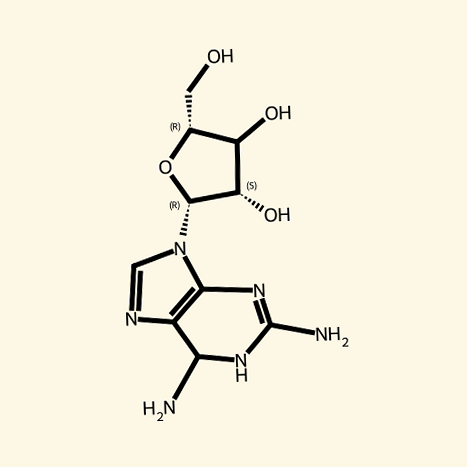 NC1=Nc2c(ncn2[C@@H]2O[C@H](CO)C(O)[C@@H]2O)C(N)N1